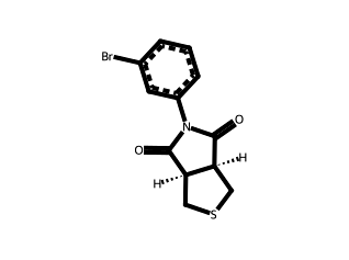 O=C1[C@H]2CSC[C@H]2C(=O)N1c1cccc(Br)c1